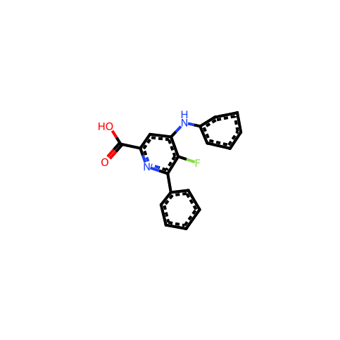 O=C(O)c1cc(Nc2ccccc2)c(F)c(-c2ccccc2)n1